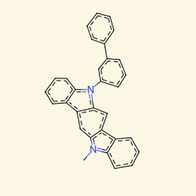 Cn1c2ccccc2c2cc3c(cc21)c1ccccc1n3-c1cccc(-c2ccccc2)c1